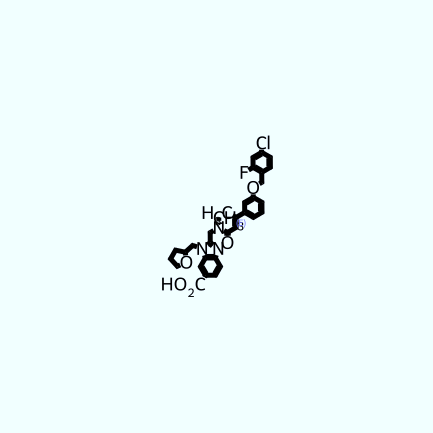 C/C(=C\C(=O)N(C)Cc1nc2ccc(C(=O)O)cc2n1CC1CCCO1)c1cccc(OCc2ccc(Cl)cc2F)c1